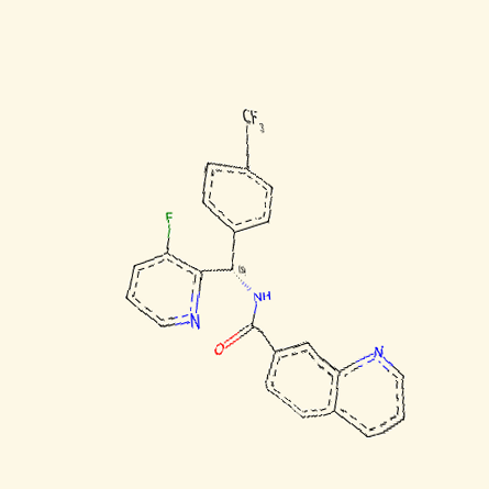 O=C(N[C@@H](c1ccc(C(F)(F)F)cc1)c1ncccc1F)c1ccc2cccnc2c1